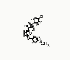 COc1ccc(Cn2nnc(-c3cnn(-c4ccc(Cl)cc4)c3I)n2)cc1